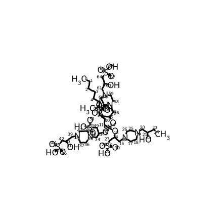 CCCCCC[N+](C)(C)CCC[Si](OC(CN1CCN(CC(O)CC)CC1)CS(=O)(=O)O)(OC(CN1CCN(CC(O)CS(=O)(=O)O)CC1)CS(=O)(=O)O)OC(CN1CCN(CC(O)CS(=O)(=O)O)CC1)CS(=O)(=O)O